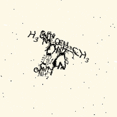 CCC(=O)c1cnc(Nc2cccc(C(N)=O)n2)cc1Nc1cccc(-c2ncn(C)n2)c1OC